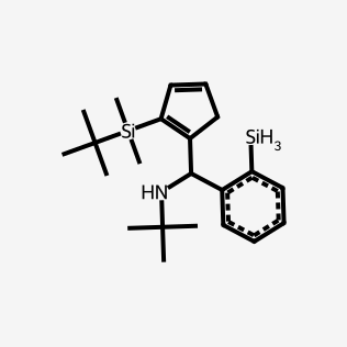 CC(C)(C)NC(C1=C([Si](C)(C)C(C)(C)C)C=CC1)c1ccccc1[SiH3]